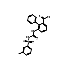 Cc1cccc(S(=O)(=O)NC(=O)Nc2cccc(C(=O)O)c2-c2ccccc2)c1